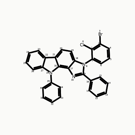 Clc1c(Br)cccc1-n1c(-c2ccccc2)nc2c1ccc1c3ccccc3n(-c3ccccc3)c12